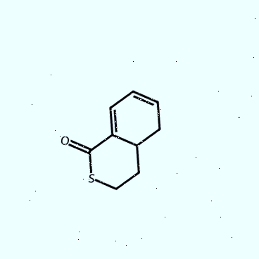 O=C1SCCC2CC=CC=C12